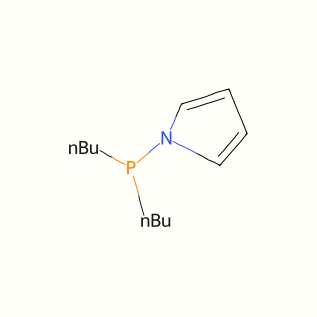 CCCCP(CCCC)n1cccc1